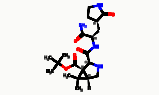 CC(C)(C)OC(=O)[C@]12[C@@H](C(=O)N[C@@H](C[C@@H]3CCNC3=O)C(N)=O)NC[C@H]1C2(C)C